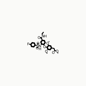 CCNC(=O)c1ccc(Oc2c(OC)cc(CC(=O)OC)cc2OC)c(NS(=O)(=O)c2ccc(F)cc2)c1